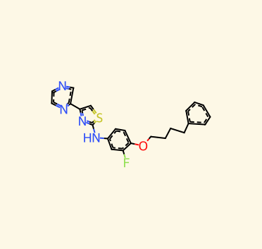 Fc1cc(Nc2nc(-c3cnccn3)cs2)ccc1OCCCCc1ccccc1